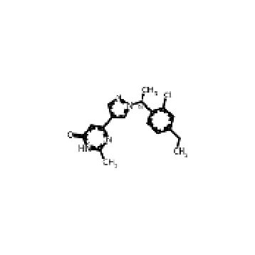 CCc1ccc([C@H](C)n2cc(-c3cc(=O)[nH]c(C)n3)cn2)c(Cl)c1